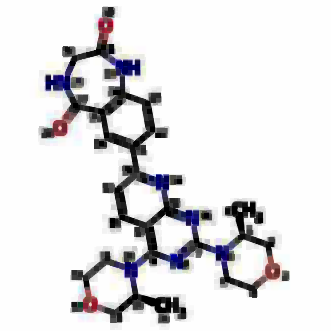 C[C@H]1COCCN1c1nc(N2CCOC[C@@H]2C)c2ccc(-c3ccc4c(c3)C(=O)NCC(=O)N4)nc2n1